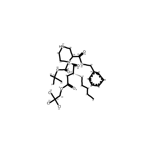 CCCCC[C@H](CC(=O)OCC(Cl)(Cl)Cl)C(=O)[N@+]1(C(=O)OC(C)(C)C)CCNCC1C(=O)OCc1ccccc1